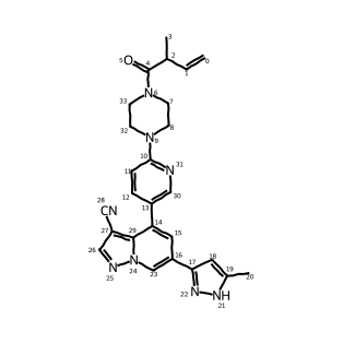 C=CC(C)C(=O)N1CCN(c2ccc(-c3cc(-c4cc(C)[nH]n4)cn4ncc(C#N)c34)cn2)CC1